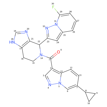 O=C(c1cnn2cc(C3CC3)ccc12)N1CCc2[nH]cnc2C1c1cc2cccc(F)n2n1